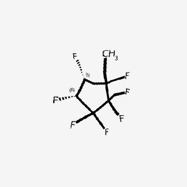 CC1(F)[C@@H](F)[C@@H](F)C(F)(F)C1(F)F